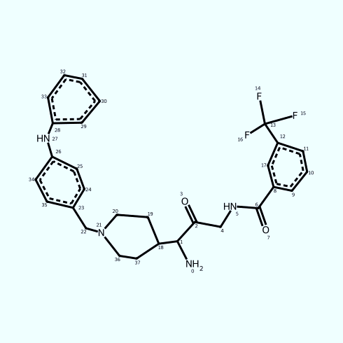 NC(C(=O)CNC(=O)c1cccc(C(F)(F)F)c1)C1CCN(Cc2ccc(Nc3ccccc3)cc2)CC1